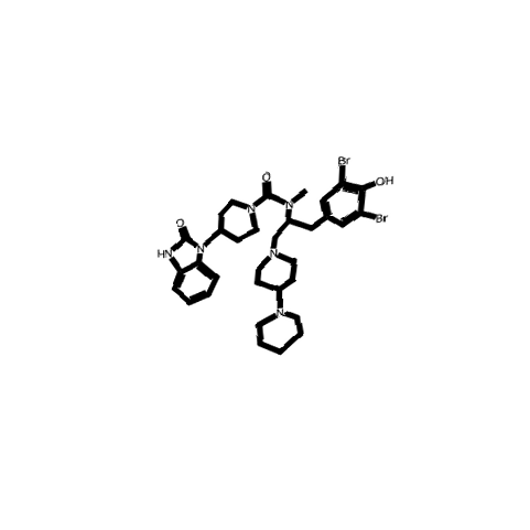 CN(C(=O)N1CCC(n2c(=O)[nH]c3ccccc32)CC1)C(Cc1cc(Br)c(O)c(Br)c1)CN1CCC(N2CCCCC2)CC1